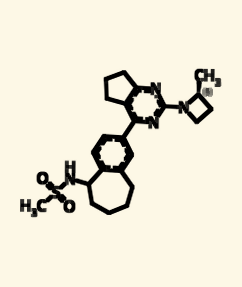 C[C@H]1CCN1c1nc2c(c(-c3ccc4c(c3)CCCCC4NS(C)(=O)=O)n1)CCC2